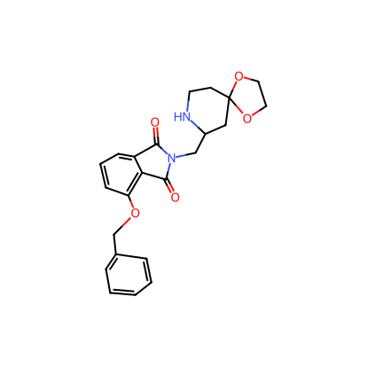 O=C1c2cccc(OCc3ccccc3)c2C(=O)N1CC1CC2(CCN1)OCCO2